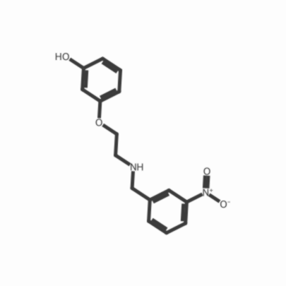 O=[N+]([O-])c1cccc(CNCCOc2cccc(O)c2)c1